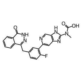 CN(C(=O)O)c1nc2cc(-c3cc(Cc4n[nH]c(=O)c5ccccc45)ccc3F)ncc2[nH]1